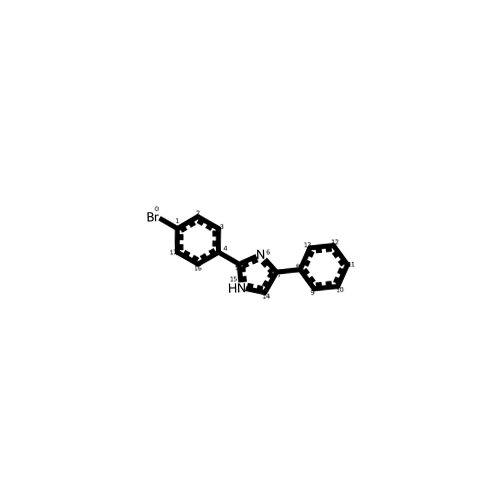 Brc1ccc(-c2nc(-c3ccccc3)c[nH]2)cc1